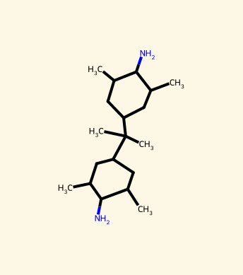 CC1CC(C(C)(C)C2CC(C)C(N)C(C)C2)CC(C)C1N